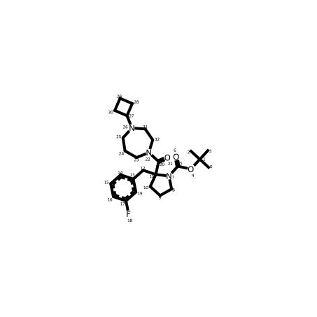 CC(C)(C)OC(=O)N1CCCC1(Cc1cccc(F)c1)C(=O)N1CCCN(C2CCC2)CC1